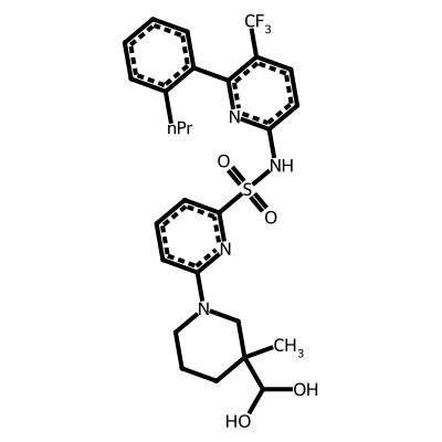 CCCc1ccccc1-c1nc(NS(=O)(=O)c2cccc(N3CCCC(C)(C(O)O)C3)n2)ccc1C(F)(F)F